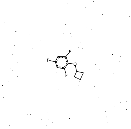 Fc1cc(F)c(OC2CCC2)c(F)c1